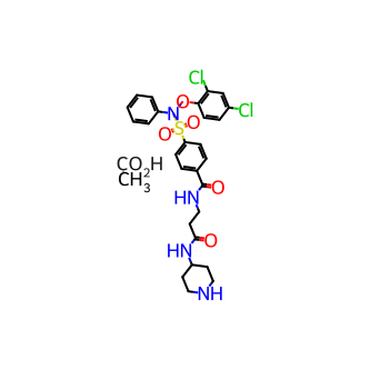 CC(=O)O.O=C(CCNC(=O)c1ccc(S(=O)(=O)N(Oc2ccc(Cl)cc2Cl)c2ccccc2)cc1)NC1CCNCC1